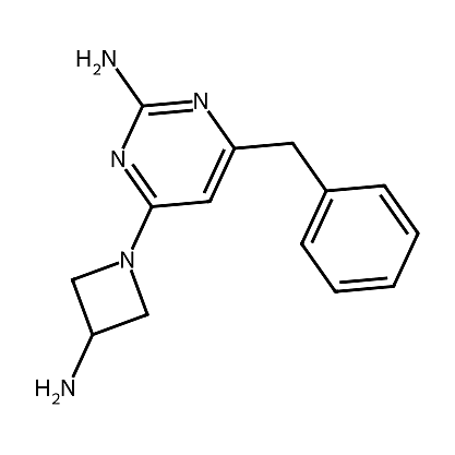 Nc1nc(Cc2ccccc2)cc(N2CC(N)C2)n1